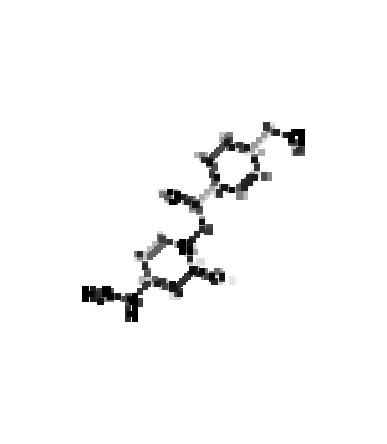 BNc1ccn(CC(=O)c2ccc(CCl)cc2)c(=O)c1